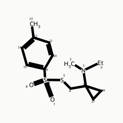 CCN(C)C1(CSS(=O)(=O)c2ccc(C)cc2)CC1